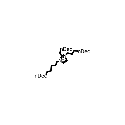 CCCCCCCCCCCCCCC[n+]1ccn(CCCCCCCCCCCCC)c1CCCCCCCCCCC